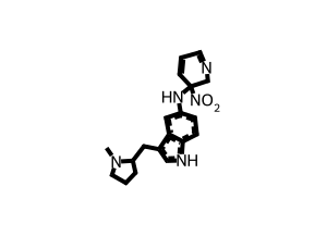 CN1CCCC1Cc1c[nH]c2ccc(NC3([N+](=O)[O-])C=CC=NC3)cc12